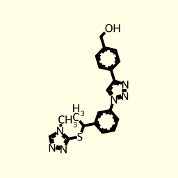 CC(Sc1nncn1C)c1cccc(-n2cc(-c3ccc(CO)cc3)nn2)c1